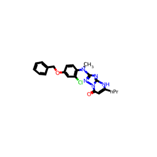 CCCc1cc(=O)n2nc(N(C)c3ccc(OCc4ccccc4)cc3Cl)nc2[nH]1